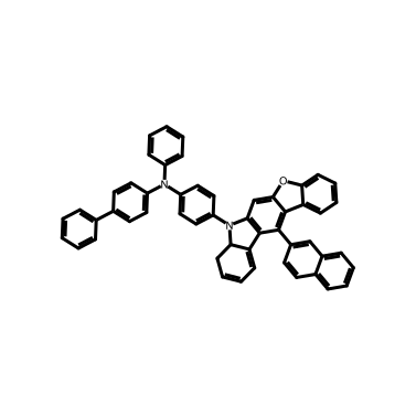 C1=CCC2C(=C1)c1c(cc3oc4ccccc4c3c1-c1ccc3ccccc3c1)N2c1ccc(N(c2ccccc2)c2ccc(-c3ccccc3)cc2)cc1